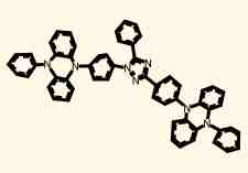 c1ccc(-c2nc(-c3ccc(N4c5ccccc5N(c5ccccc5)c5ccccc54)cc3)nn2-c2ccc(N3c4ccccc4N(c4ccccc4)c4ccccc43)cc2)cc1